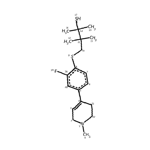 CN1CC=C(c2ccc(SCC(C)(C)C(C)(C)S)c(F)c2)CC1